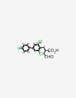 O=CC[C@@H](Cc1c(Cl)cc(-c2ccc(F)cc2)cc1Cl)C(=O)O